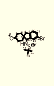 COC1CCC2(CC1)Cc1ccc(Br)cc1C2N[S+]([O-])C(C)(C)C